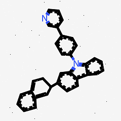 C1=c2ccccc2=CC(c2ccc3c4ccccc4n(-c4ccc(-c5cccnc5)cc4)c3c2)C1